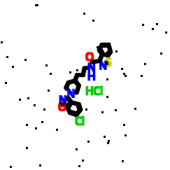 Cl.O=C(NCCCC1CCN(c2noc3cc(Cl)ccc23)CC1)c1nsc2ccccc12